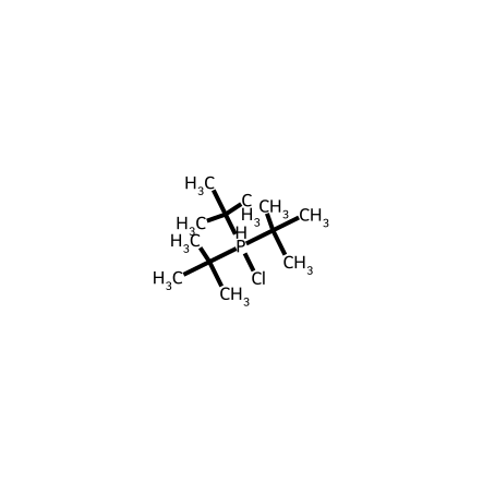 CC(C)(C)[PH](Cl)(C(C)(C)C)C(C)(C)C